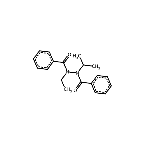 CCN(C(=O)c1ccccc1)N(C(=O)c1ccccc1)C(C)C